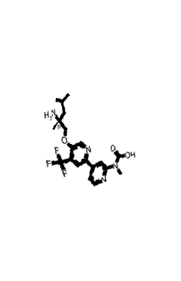 CC(C)C[C@@](C)(N)COc1cnc(-c2ccnc(N(C)C(=O)O)c2)cc1C(F)(F)F